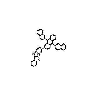 c1ccc2cc(-c3c4ccccc4c(-c4ccc5ccccc5c4)c4cc(-c5ccc6nc7c8ccccc8sc7n6c5)ccc34)ccc2c1